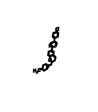 CC1CCN(CC2CCc3cc(-c4ccc(-c5ccc(Cl)cc5)cn4)ccc3O2)CC1